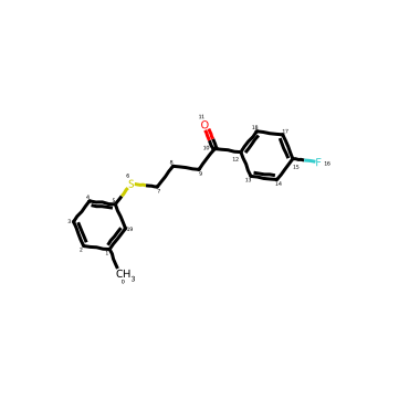 Cc1cccc(SCCCC(=O)c2ccc(F)cc2)c1